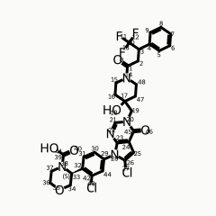 O=C(CC(c1ccccc1)C(F)(F)F)N1CCC(O)(Cn2cnc3c(cc(Cl)n3-c3ccc([C@H]4COCCN4C(=O)O)c(Cl)c3)c2=O)CC1